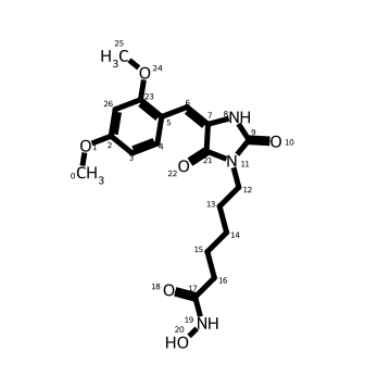 COc1ccc(C=C2NC(=O)N(CCCCCC(=O)NO)C2=O)c(OC)c1